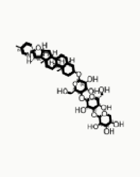 C[C@H]1CC[C@]2(NC1)O[C@H]1C[C@H]3[C@@H]4CC[C@H]5C[C@@H](O[C@@H]6O[C@H](CO)[C@H](O[C@H]7O[C@H](CO)[C@@H](O)[C@H](OC8OC[C@@H](O)[C@H](O)[C@H]8O)[C@H]7O)[C@H](O)[C@H]6O)CC[C@]5(C)[C@H]4CC[C@]3(C)[C@H]1[C@@H]2C